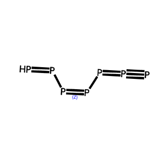 P#P=P/P=P\P=P